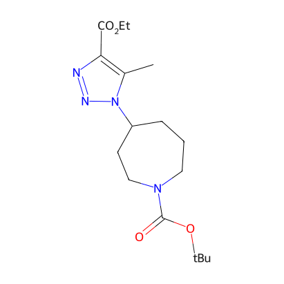 CCOC(=O)c1nnn(C2CCCN(C(=O)OC(C)(C)C)CC2)c1C